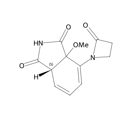 COC12C(=O)NC(=O)[C@H]1C=CC=C2N1CCC1=O